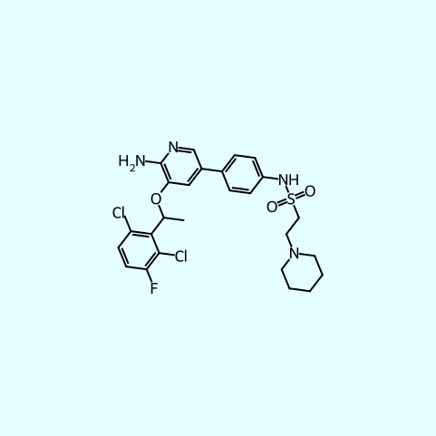 CC(Oc1cc(-c2ccc(NS(=O)(=O)CCN3CCCCC3)cc2)cnc1N)c1c(Cl)ccc(F)c1Cl